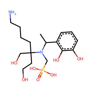 CC(c1cccc(O)c1O)N(CP(=O)(O)O)C(CO)(CCO)CCCCN